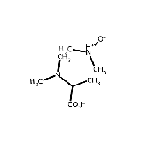 CC(C(=O)O)N(C)C.C[NH+](C)[O-]